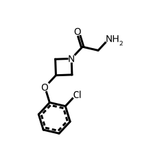 NCC(=O)N1CC(Oc2ccccc2Cl)C1